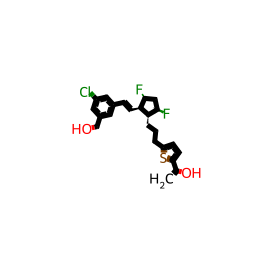 C=C(O)c1ccc(CCC[C@@H]2[C@@H](/C=C/c3cc(Cl)cc(CO)c3)[C@H](F)C[C@H]2F)s1